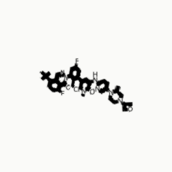 CC1CN(C2COC2)CCN1c1ccc(Nc2cc(-c3cc(F)cc(-n4ncc5c(C(C)(C)C)ccc(F)c5c4=O)c3CO)cn(C)c2=O)nc1